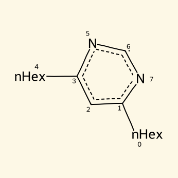 CCCCCCc1cc(CCCCCC)n[c]n1